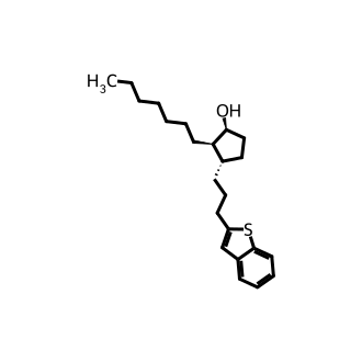 CCCCCCC[C@@H]1[C@@H](CCCc2cc3ccccc3s2)CC[C@@H]1O